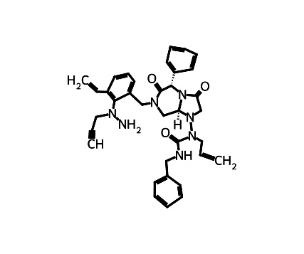 C#CCN(N)c1c(C=C)cccc1CN1C[C@H]2N(C(=O)CN2N(CC=C)C(=O)NCc2ccccc2)[C@@H](c2ccccc2)C1=O